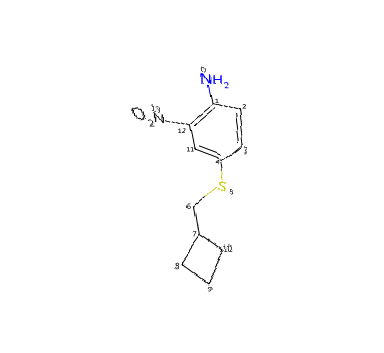 Nc1ccc(SCC2CCC2)cc1[N+](=O)[O-]